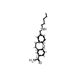 CCCCCNCc1ccc2c(c1)CCc1cc(C(N)=O)ccc1O2